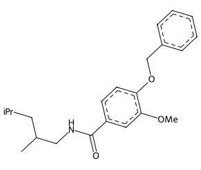 COc1cc(C(=O)NCC(C)CC(C)C)ccc1OCc1ccccc1